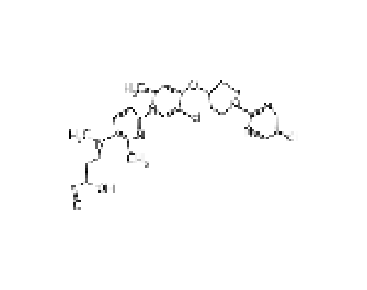 C=C1C=C(OC2CCN(c3ncc(Cl)cn3)CC2)C(Cl)=CN1c1ccc(N(C)CCC(O)C=O)c(C)n1